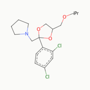 CC(C)OCC1COC(CN2CCCC2)(c2ccc(Cl)cc2Cl)O1